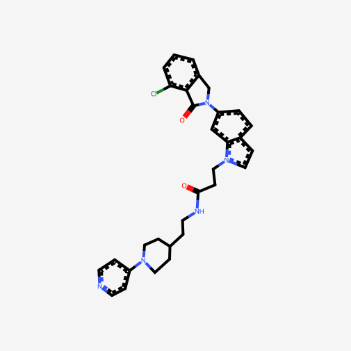 O=C(CCn1ccc2ccc(N3Cc4cccc(Cl)c4C3=O)cc21)NCCC1CCN(c2ccncc2)CC1